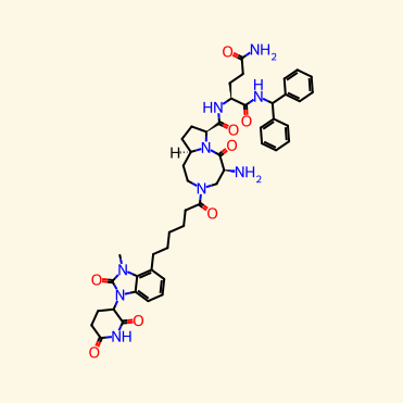 Cn1c(=O)n(C2CCC(=O)NC2=O)c2cccc(CCCCCC(=O)N3CC[C@H]4CC[C@@H](C(=O)N[C@@H](CCC(N)=O)C(=O)NC(c5ccccc5)c5ccccc5)N4C(=O)[C@@H](N)C3)c21